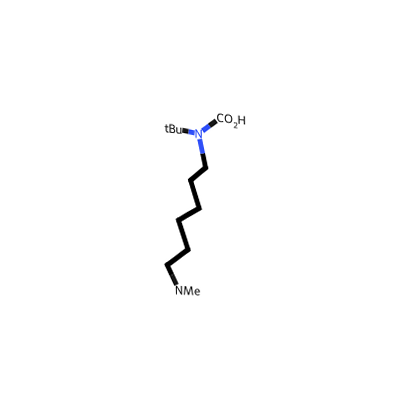 CNCCCCCCN(C(=O)O)C(C)(C)C